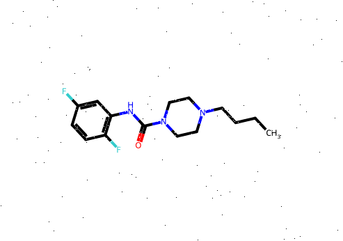 CCCCN1CCN(C(=O)Nc2cc(F)ccc2F)CC1